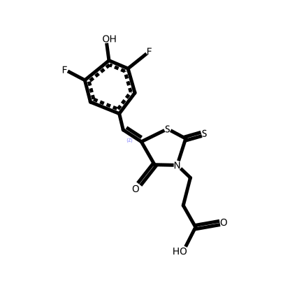 O=C(O)CCN1C(=O)/C(=C/c2cc(F)c(O)c(F)c2)SC1=S